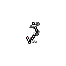 Cc1ccccc1N(c1ccc2cc3c(cc2c1)oc1c3ccc2oc3cc4cc(N(c5ccccc5C)c5ccccc5C(C)(C)C)ccc4cc3c21)c1ccccc1C(C)(C)C